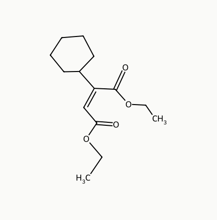 CCOC(=O)/C=C(\C(=O)OCC)C1CCCCC1